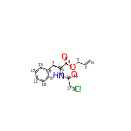 C=CCOC(=O)[C@H](Cc1ccccc1)NC(=O)CCl